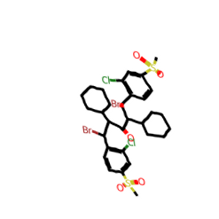 CS(=O)(=O)c1ccc(C(Br)C(C(=O)C(C2CCCCC2)C(Br)c2ccc(S(C)(=O)=O)cc2Cl)C2CCCCC2)c(Cl)c1